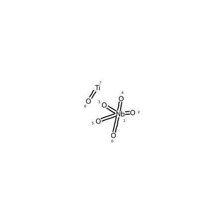 [O]=[Nb](=[O])(=[O])(=[O])=[O].[O]=[Ti]